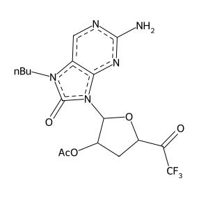 CCCCn1c(=O)n(C2OC(C(=O)C(F)(F)F)CC2OC(C)=O)c2nc(N)ncc21